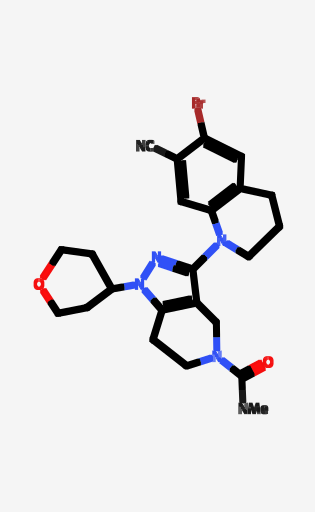 CNC(=O)N1CCc2c(c(N3CCCc4cc(Br)c(C#N)cc43)nn2C2CCOCC2)C1